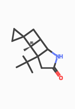 CC(C)(C)C12CC(=O)NC1C1CC3(CC3)[C@@]12C